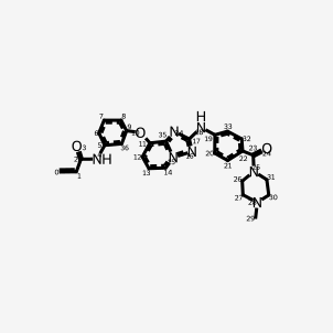 C=CC(=O)Nc1cccc(Oc2cccn3nc(Nc4ccc(C(=O)N5CCN(C)CC5)cc4)nc23)c1